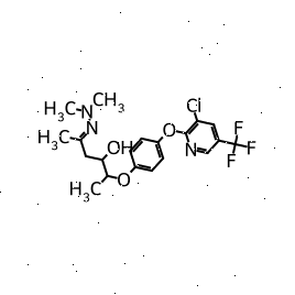 CC(CC(O)C(C)Oc1ccc(Oc2ncc(C(F)(F)F)cc2Cl)cc1)=NN(C)C